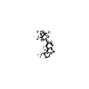 CC1(C)CCn2nc3ccc(B4OC(C)(C)C(C)(C)O4)cc3c21